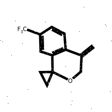 C=C1COC2(CC2)c2cc(C(F)(F)F)ccc21